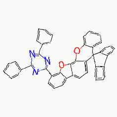 c1ccc(-c2nc(-c3ccccc3)nc(-c3cccc4c3oc3c5c(ccc34)C3(c4ccccc4O5)c4ccccc4-c4ccccc43)n2)cc1